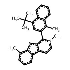 Cc1c(-c2c3sc4c(C)cccc4c3cc[n+]2C)cc(C(C)(C)C)c2ccccc12